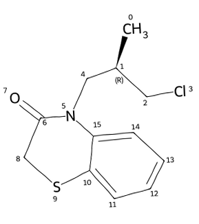 C[C@@H](CCl)CN1C(=O)CSc2ccccc21